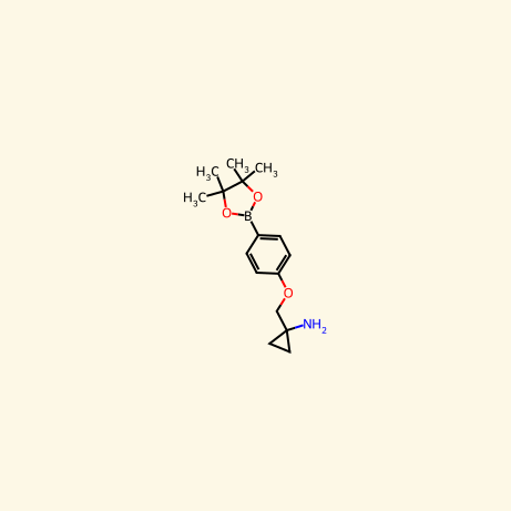 CC1(C)OB(c2ccc(OCC3(N)CC3)cc2)OC1(C)C